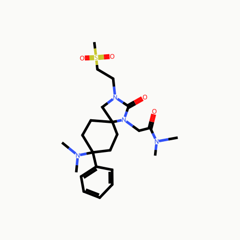 CN(C)C(=O)CN1C(=O)N(CCS(C)(=O)=O)CC12CCC(c1ccccc1)(N(C)C)CC2